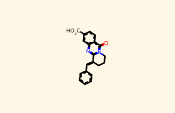 O=C(O)c1ccc2c(=O)n3c(nc2c1)C(=Cc1ccccc1)CCC3